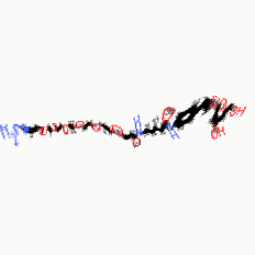 NCCOCCOCCOCCOCCOCCOCCC(=O)NCCCCCC(=O)Nc1ccc(CCOC2CC(O)CC(CO)O2)cc1